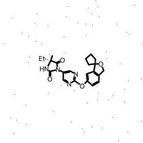 CC[C@@]1(C)NC(=O)N(c2cnc(Oc3ccc4c(c3)C3(CCCC3)OC4)nc2)C1=O